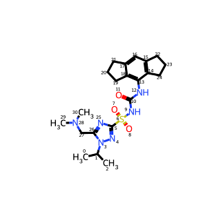 CC(C)n1nc(S(=O)(=O)NC(=O)Nc2c3c(cc4c2CCC4)CCC3)nc1CN(C)C